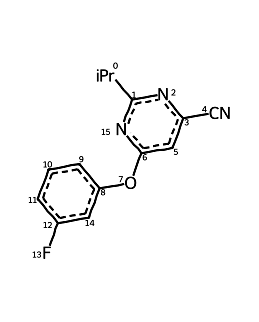 CC(C)c1nc(C#N)cc(Oc2cccc(F)c2)n1